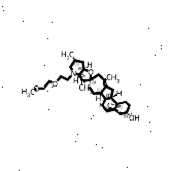 COCCOCCN1C[C@@H](C)C[C@H]2O[C@]3(CC[C@@H]4C(=C(C)C3)C[C@H]3C4CC=C4C[C@@H](O)CC[C@@]43C)[C@H](C)[C@@H]21